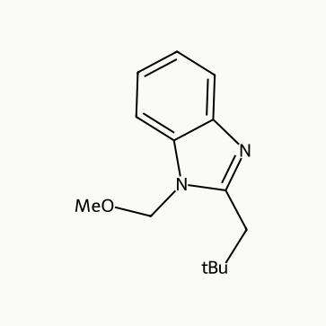 COCn1c(CC(C)(C)C)nc2ccccc21